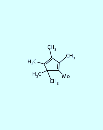 CC1=C(C)C(C)(C)[C]([Mo])=C1C